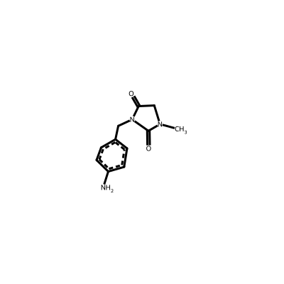 CN1CC(=O)N(Cc2ccc(N)cc2)C1=O